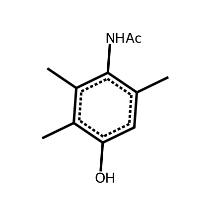 CC(=O)Nc1c(C)cc(O)c(C)c1C